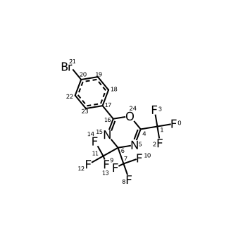 FC(F)(F)C1=NC(C(F)(F)F)(C(F)(F)F)N=C(c2ccc(Br)cc2)O1